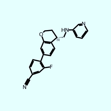 N#Cc1ccc(-c2ccc3c(c2)OCC[C@@H]3CNc2cccnc2)c(F)c1